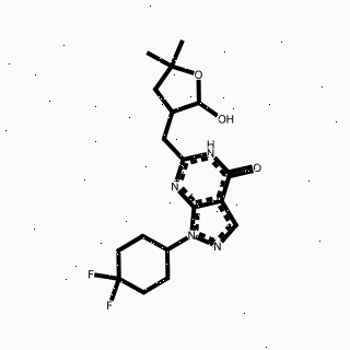 CC1(C)CC(Cc2nc3c(cnn3C3CCC(F)(F)CC3)c(=O)[nH]2)C(O)O1